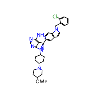 COC1CCN(C2CCC(n3nc(-c4ccc5c(ccn5Cc5ccccc5Cl)c4)c4c(N)ncnc43)CC2)CC1